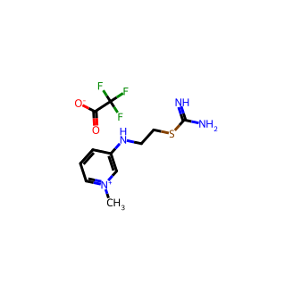 C[n+]1cccc(NCCSC(=N)N)c1.O=C([O-])C(F)(F)F